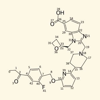 CCC(=O)c1ccc(COc2cccc(C3CCN(Cc4nc5ccc(C(=O)O)cc5n4C[C@@H]4CCO4)CC3)n2)c(F)c1